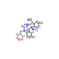 CC(C)(C)C[C@@H]1N[C@@H](C(=O)NCC2CCOCC2)[C@H](c2cccc(Cl)c2)[C@@]1(N)c1ccc(Cl)cc1